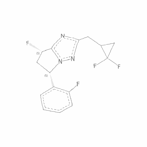 Fc1ccccc1[C@@H]1C[C@H](F)c2nc(CC3CC3(F)F)nn21